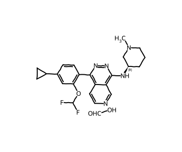 CN1CCC[C@@H](Nc2nnc(-c3ccc(C4CC4)cc3OC(F)F)c3ccncc23)C1.O=CO